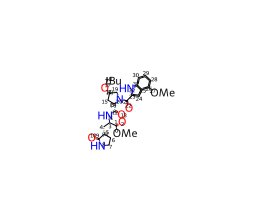 COC(=O)C(C[C@@H]1CCNC1=O)NC(=O)[C@@H]1C[C@@H](OC(C)(C)C)CN1C(=O)c1cc2c(OC)cccc2[nH]1